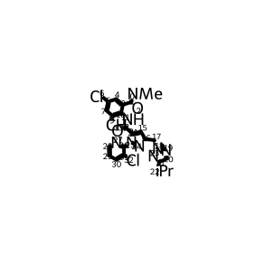 CNC(=O)c1cc(Cl)cc(C)c1NC(=O)c1cc(Cn2ncc(C(C)C)n2)nn1-c1ncccc1Cl